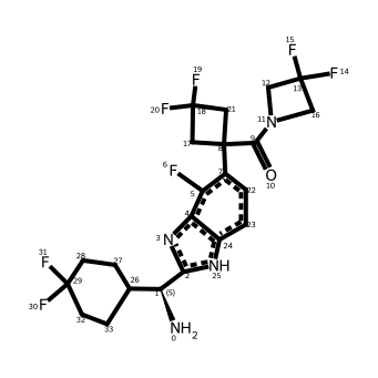 N[C@H](c1nc2c(F)c(C3(C(=O)N4CC(F)(F)C4)CC(F)(F)C3)ccc2[nH]1)C1CCC(F)(F)CC1